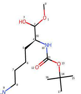 COC(O)[C@H](CCCCN)NC(=O)OC(C)(C)C